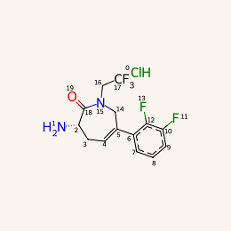 Cl.N[C@H]1CC=C(c2cccc(F)c2F)CN(CC(F)(F)F)C1=O